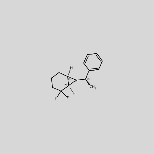 C[C@H](c1ccccc1)N1[C@@H]2CCCC(F)(F)[C@@H]21